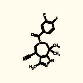 Cc1n[nH]c2c1C(C#N)=CN(C(=O)c1ccc(F)c(F)c1)CC2(C)C